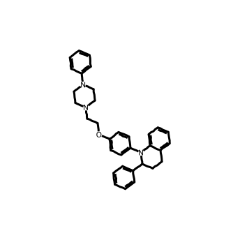 c1ccc(C2CCc3ccccc3N2c2ccc(OCCN3CCN(c4ccccc4)CC3)cc2)cc1